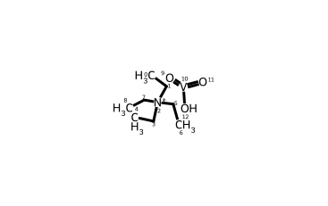 CC[N+](CC)(CC)CC.[O]=[V](=[O])[OH]